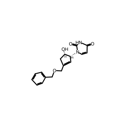 O=c1ccn([C@@H]2C=C(COCc3ccccc3)C[C@@H]2O)c(=O)[nH]1